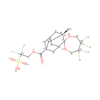 O=C(OCC(F)(F)S(=O)(=O)O)C12CC3CC(C1)C1(OCC(F)(F)C(F)(F)CO1)[C@@H](C3)C2